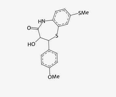 COc1ccc(C2Sc3cc(SC)ccc3NC(=O)C2O)cc1